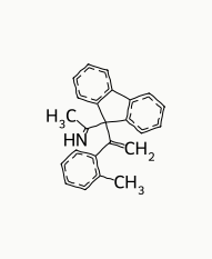 C=C(c1ccccc1C)C1(C(C)=N)c2ccccc2-c2ccccc21